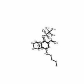 CCCCOc1cc(C=O)c(OS(=O)(=O)C(F)(F)F)c2c1C1CCC2C1